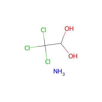 N.OC(O)C(Cl)(Cl)Cl